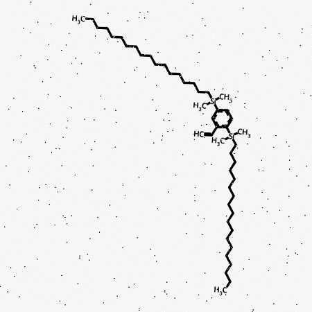 [CH]=Cc1cc([Si](C)(C)CCCCCCCCCCCCCCCCCC)[c]cc1[Si](C)(C)CCCCCCCCCCCCCCCCCC